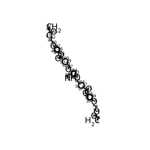 C=CC(=O)OCCCOc1ccc(OC(=O)C2CCC(COc3ccc(OCC4CCC(C(=O)Oc5ccc(OCCCOC(=O)C=C)cc5)CC4)c(C=N)c3)CC2)cc1